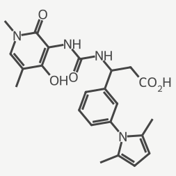 Cc1cn(C)c(=O)c(NC(=O)NC(CC(=O)O)c2cccc(-n3c(C)ccc3C)c2)c1O